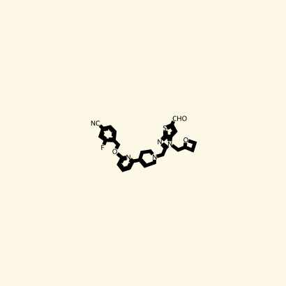 N#Cc1ccc(COc2cccc(C3=CCN(Cc4nc5sc(C=O)cc5n4CC4CCO4)CC3)n2)c(F)c1